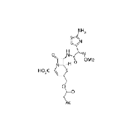 CO/N=C(\C(=O)N[C@@H]1C(=O)N2C(C(=O)O)=CC(COC(=O)CC(C)=O)S[C@H]12)c1csc(N)n1